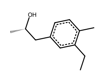 CCc1cc(C[C@H](C)O)ccc1C